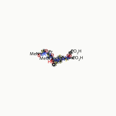 CNC(=O)C[C@H](N)c1nc(C(=O)NC(c2nc(C(=O)NCC(=O)N[C@H](c3nc(-c4nc(-c5nc(-c6nc(N(CCCC(=O)O)C(=O)O[C@H]7CC[C@H](C(=O)O)C7)cs6)ccc5-c5nc(C=O)cs5)cs4)cs3)[C@@H](O)c3ccccc3)c(COC)s2)C(C)C)c(C)s1